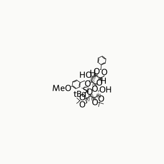 COc1ccc(CO[C@@H]2[C@H](OC(O)[C@@H]3OC(C)(C)O[C@H]3[C@H](O[Si](C)(C)C(C)(C)C)[C@H]3COC(C)(C)O3)O[C@@H]3COC(c4ccccc4)O[C@H]3[C@@H]2O)cc1